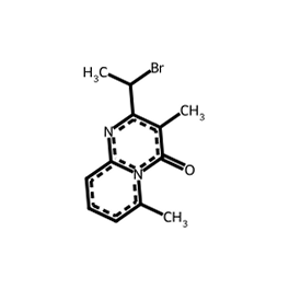 Cc1c(C(C)Br)nc2cccc(C)n2c1=O